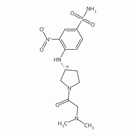 CN(C)CC(=O)N1CC[C@@H](Nc2ccc(S(N)(=O)=O)cc2[N+](=O)[O-])C1